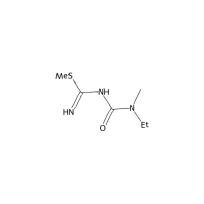 CCN(C)C(=O)NC(=N)SC